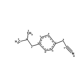 CC(C)Cc1ccc(CC#N)cc1